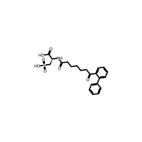 O=C(CCCCCC(=O)c1ccccc1-c1ccccc1)N[C@@H](CS(=O)(=O)O)C(=O)O